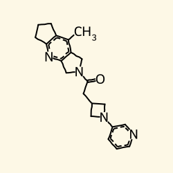 Cc1c2c(nc3c1CN(C(=O)CC1CN(c4cccnc4)C1)C3)CCC2